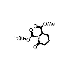 COC(=O)C1CCCC(=O)N1C(=O)OC(C)(C)C